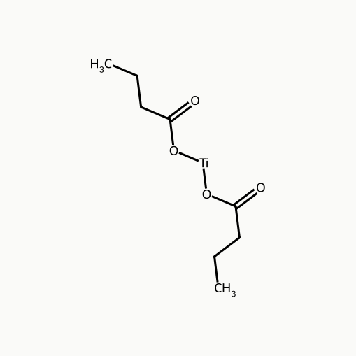 CCCC(=O)[O][Ti][O]C(=O)CCC